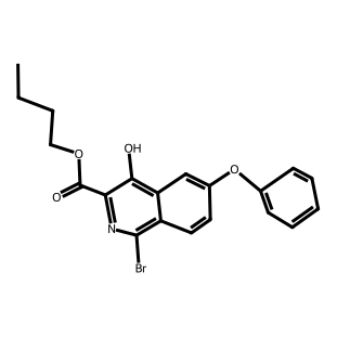 CCCCOC(=O)c1nc(Br)c2ccc(Oc3ccccc3)cc2c1O